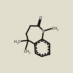 CN1C(=O)CCC(C)(C)c2ccccc21